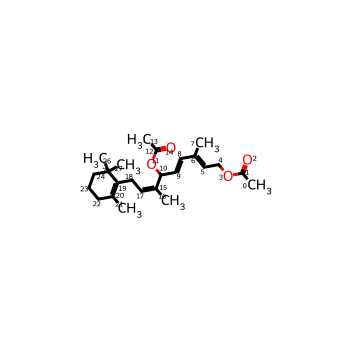 CC(=O)OCC=C(C)C=CC(OC(C)=O)C(C)=CCC1=C(C)CCCC1(C)C